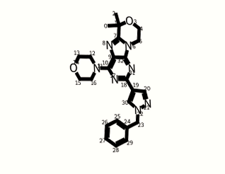 CC1(C)OCCn2c1nc1c(N3CCOCC3)nc(-c3cnn(Cc4ccccc4)c3)nc12